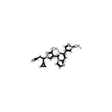 Cc1nn(C(CC#N)C2CC2)cc1-c1nc(-c2cnn(C)c2)cc2nccn12